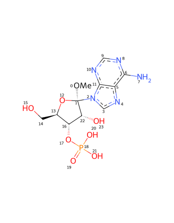 CO[C@@]1(n2cnc3c(N)ncnc32)O[C@H](CO)[C@@H](OP(=O)(O)O)[C@H]1O